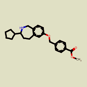 COC(=O)c1ccc(COc2ccc3c(c2)CCC(C2CCCC2)NC3)cc1